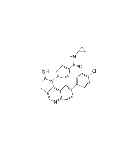 N=c1ccc2cnc3ccc(-c4ccc(Cl)cc4)cc3c2n1-c1ccc(C(=O)NC2CC2)cc1